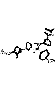 COc1ccc([C@H]2CC[C@H](CN(c3cccc(-c4csc(C)n4)c3)C(=O)[C@H]3CC[C@H](O)CC3)CC2)cc1C